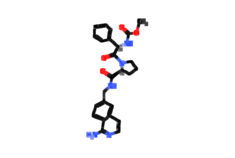 COC(=O)N[C@H](C(=O)N1CCC[C@H]1C(=O)NCc1ccc2c(N)nccc2c1)c1ccccc1